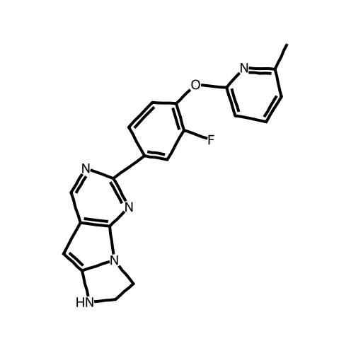 Cc1cccc(Oc2ccc(-c3ncc4cc5n(c4n3)CCN5)cc2F)n1